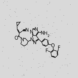 N#CC(=CC1CC1)C(=O)N1CCCC(n2nc(-c3ccc(Oc4c(F)cccc4F)cc3)c3c(N)ncnc32)C1